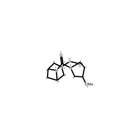 COC1CCN(C(=O)N2C3CC2CN(SS)C3)C1